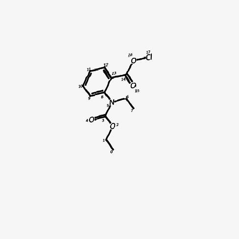 CCOC(=O)N(CC)c1ccccc1C(=O)OCl